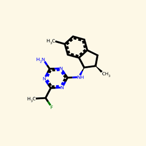 Cc1ccc2c(c1)[C@H](Nc1nc(N)nc(C(C)F)n1)[C@H](C)C2